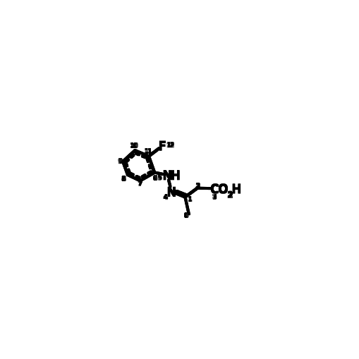 CC(CC(=O)O)=NNc1ccccc1F